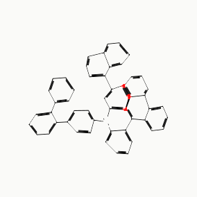 c1ccc(-c2ccccc2-c2ccc(N(c3cccc(-c4cccc5ccccc45)c3)c3ccccc3-c3cc4ccccc4c4ccccc34)cc2)cc1